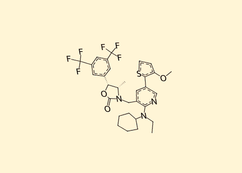 CCN(c1ncc(-c2sccc2OC)cc1CN1C(=O)O[C@H](c2cc(C(F)(F)F)cc(C(F)(F)F)c2)[C@@H]1C)C1CCCCC1